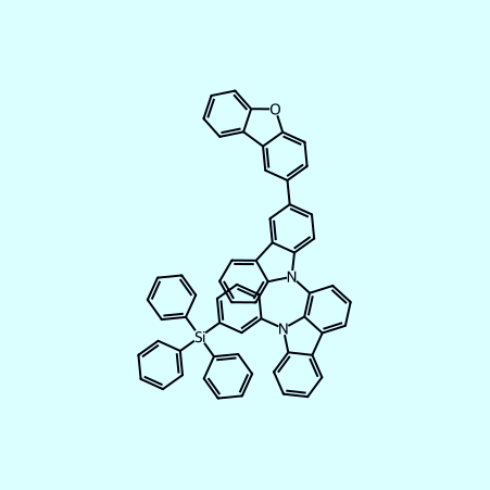 c1ccc([Si](c2ccccc2)(c2ccccc2)c2cccc(-n3c4ccccc4c4cccc(-n5c6ccccc6c6cc(-c7ccc8oc9ccccc9c8c7)ccc65)c43)c2)cc1